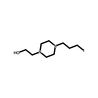 OCCN1CCN(CCCI)CC1